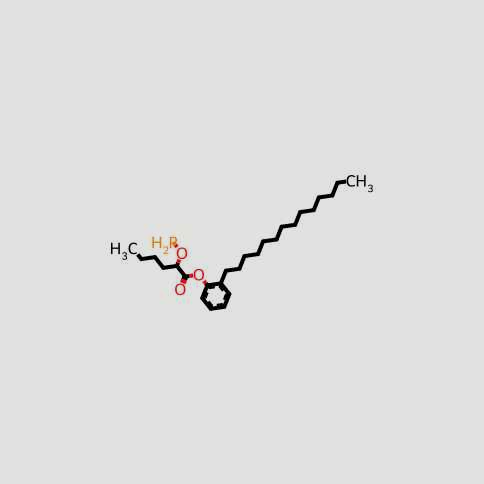 CCCCCCCCCCCCCCc1ccccc1OC(=O)C(CCCC)OP